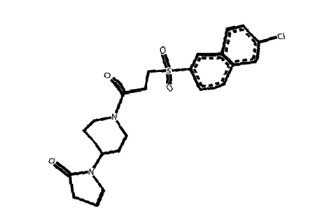 O=C(CCS(=O)(=O)c1ccc2cc(Cl)ccc2c1)N1CCC(N2CCCC2=O)CC1